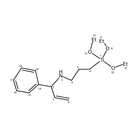 C=CC(NCC[CH2][Ti]([O]CC)([O]CC)[O]CC)c1ccccc1